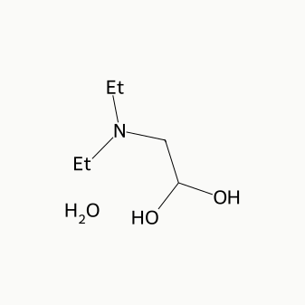 CCN(CC)CC(O)O.O